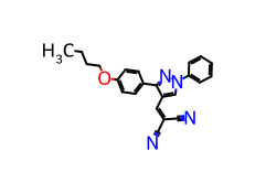 CCCCOc1ccc(-c2nn(-c3ccccc3)cc2C=C(C#N)C#N)cc1